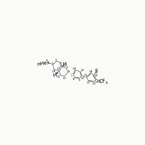 CCCCCCC1CC[C@@H]2C[C@H](c3ccc(-c4ccc(C(F)(F)F)c(F)c4)cc3)CC[C@@H]2C1